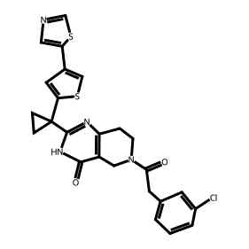 O=C(Cc1cccc(Cl)c1)N1CCc2nc(C3(c4cc(-c5cncs5)cs4)CC3)[nH]c(=O)c2C1